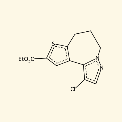 CCOC(=O)c1cc2c(s1)CCCn1ncc(Cl)c1-2